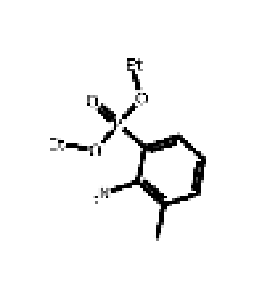 CCOP(=O)(OCC)c1cccc(C)c1N